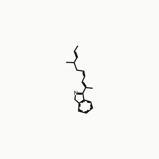 CC=CC(C)C/C=C\C=C(/C)C1=NCc2ccccc21